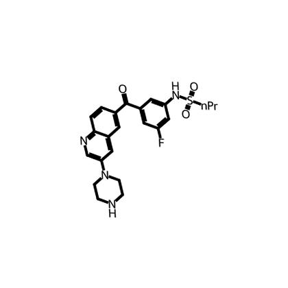 CCCS(=O)(=O)Nc1cc(F)cc(C(=O)c2ccc3ncc(N4CCNCC4)cc3c2)c1